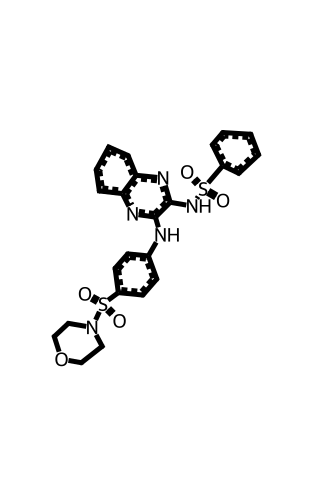 O=S(=O)(Nc1nc2ccccc2nc1Nc1ccc(S(=O)(=O)N2CCOCC2)cc1)c1ccccc1